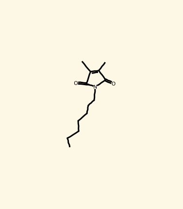 CCCCCCCN1C(=O)C(C)=C(C)C1=O